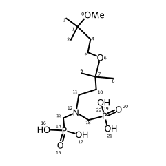 COC(C)(C)CCOC(C)(C)CCN(CP(=O)(O)O)CP(=O)(O)O